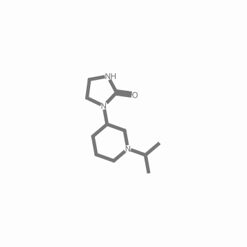 CC(C)N1CCCC(N2CCNC2=O)C1